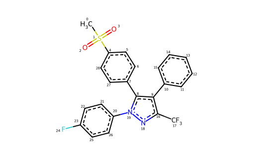 CS(=O)(=O)c1ccc(-c2c(-c3ccccc3)c(C(F)(F)F)nn2-c2ccc(F)cc2)cc1